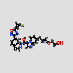 Cc1ccc(-c2noc([C@H]3C[C@@H]3F)n2)cc1NC(=O)c1cnc2cc(C/C=C/OCCO)ccn12